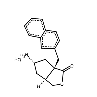 Cl.N[C@H]1C[C@@H]2COC(=O)[C@@]2(Cc2ccc3ccccc3c2)C1